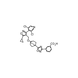 O=C(O)c1cccc(-c2noc(C34CCC(OCc5c(-c6c(Cl)cncc6Cl)noc5C5CC5)(CC3)CC4)n2)c1